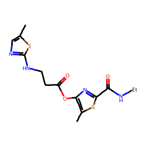 CCNC(=O)c1nc(OC(=O)CCNc2ncc(C)s2)c(C)s1